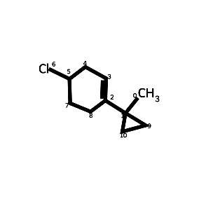 CC1(C2=CCC(Cl)CC2)CC1